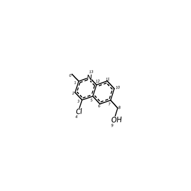 Cc1cc(Cl)c2cc(CO)ccc2n1